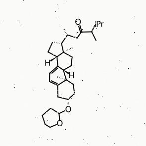 CC(C)C(C)C(=O)C[C@@H](C)[C@H]1CC[C@H]2C3=CC=C4C[C@@H](OC5CCCCO5)CC[C@]4(C)[C@H]3CC[C@]12C